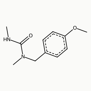 CNC(=O)N(C)Cc1ccc(OC)cc1